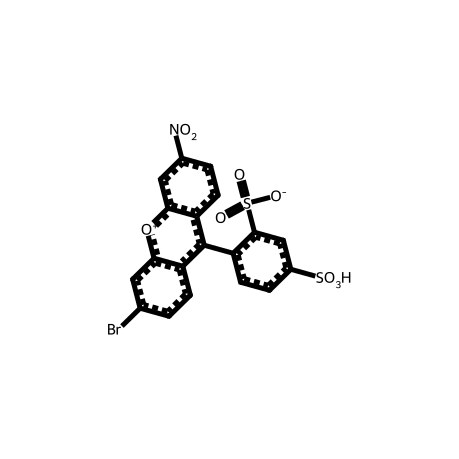 O=[N+]([O-])c1ccc2c(-c3ccc(S(=O)(=O)O)cc3S(=O)(=O)[O-])c3ccc(Br)cc3[o+]c2c1